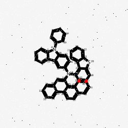 c1ccc(-n2c3ccccc3c3cc(N(c4cccc5sc6ccccc6c45)c4cc5ccccc5c5ccc6ccccc6c45)ccc32)cc1